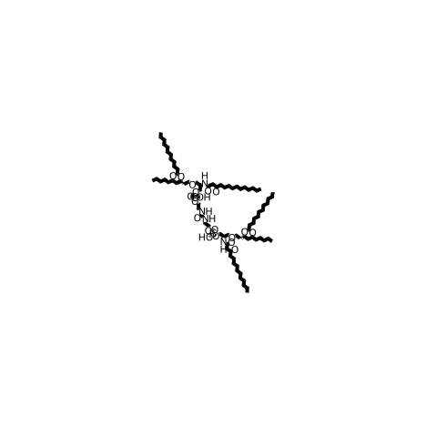 CCCCCCCCCCCC(=O)CC(=O)NC(COCC[C@@H](CCCCCCC)OC(=O)CCCCCCCCCCC)COP(=O)(O)OCCNC(=O)NCCOP(=O)(O)OCC(COCC[C@@H](CCCCCCC)OC(=O)CCCCCCCCCCC)NC(=O)CC(=O)CCCCCCCCCCC